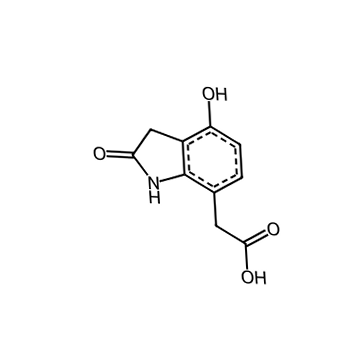 O=C(O)Cc1ccc(O)c2c1NC(=O)C2